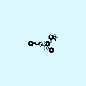 Cc1noc2nccc(Sc3cnc(Nc4nc(CCc5ccccc5)cs4)c(Oc4ccccc4)c3)c12